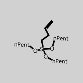 C=CCC[Si](OCCCCC)(OCCCCC)OCCCCC